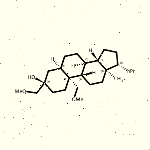 CCC[C@H]1CC[C@H]2[C@@H]3CC[C@@H]4C[C@@](O)(COC)CC[C@]4(COC)[C@H]3CC[C@]12C